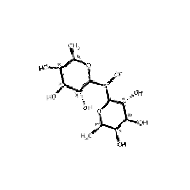 C[C@H]1OC([S+]([O-])C2O[C@H](C)[C@H](O)[C@H](O)[C@H]2O)[C@H](O)[C@@H](O)[C@H]1O